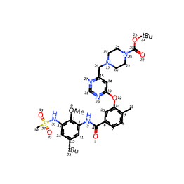 COc1c(NC(=O)c2ccc(C)c(Oc3cc(CN4CCN(C(=O)OC(C)(C)C)CC4)ncn3)c2)cc(C(C)(C)C)cc1NS(C)(=O)=O